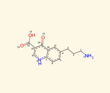 NCCCc1ccc2[nH]cc(C(=O)O)c(=O)c2c1